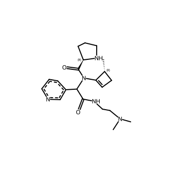 C[C@@H]1CC=C1N(C(=O)[C@H]1CCCN1)C(C(=O)NCCN(C)C)c1cccnc1